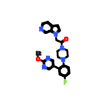 CCOc1ncc(-c2cc(F)ccc2N2CCN(C(=O)Cn3ccc4ccncc43)CC2)cn1